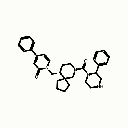 O=C(N1CC[C@H](Cn2ccc(-c3ccccc3)cc2=O)C2(CCCC2)C1)N1CCNCC1c1ccccc1